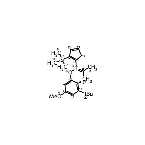 COc1cc([O][Ti]([C]2=C([Si](C)(C)C)C=CC2)=[C](C)C)cc(C(C)(C)C)c1